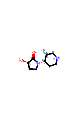 O=C1[C@H](O)CCN1[C@H]1CCNC[C@@H]1F